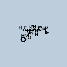 CCn1c(C(=O)NC2CCCCC2)nc2c(NC3CCN(C(=O)C4CC4)C3)ncnc21